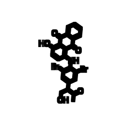 CC(=O)C(CO)c1cc(Br)c(Nc2ccc(O)c3c2C(=O)c2ccccc2C3=O)c(Br)c1